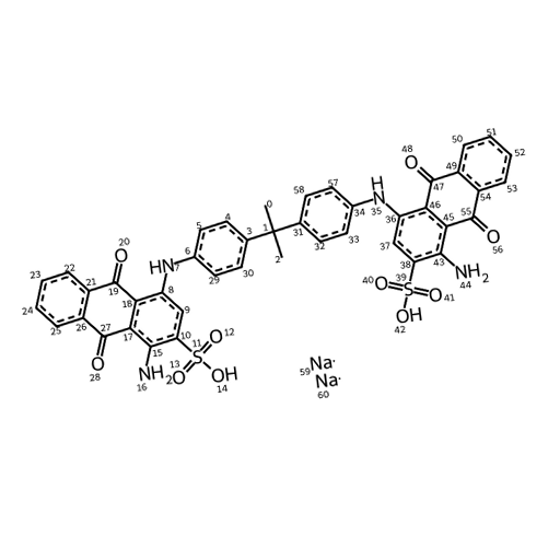 CC(C)(c1ccc(Nc2cc(S(=O)(=O)O)c(N)c3c2C(=O)c2ccccc2C3=O)cc1)c1ccc(Nc2cc(S(=O)(=O)O)c(N)c3c2C(=O)c2ccccc2C3=O)cc1.[Na].[Na]